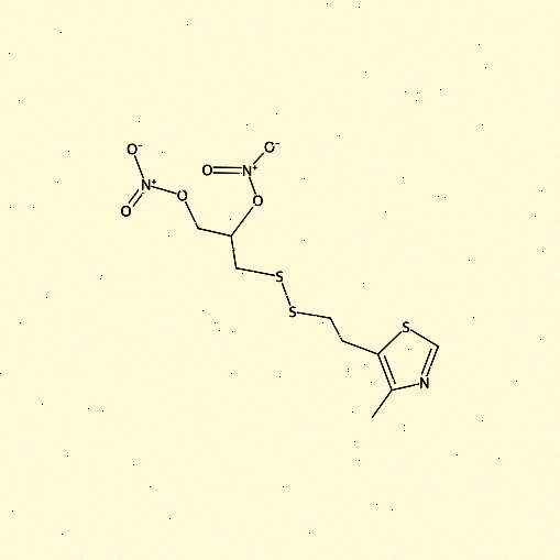 Cc1ncsc1CCSSCC(CO[N+](=O)[O-])O[N+](=O)[O-]